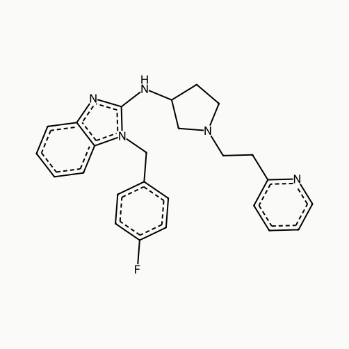 Fc1ccc(Cn2c(NC3CCN(CCc4ccccn4)C3)nc3ccccc32)cc1